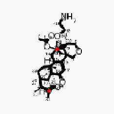 CC(=O)O[C@@H]1C[C@]23COC[C@@](C)([C@@H]2CC[C@H]2C3=CC(=O)[C@@]3(C)[C@H](C(=O)O)[C@@](C)([C@H](C)C(C)C)CC[C@]23C)[C@H]1OCCN